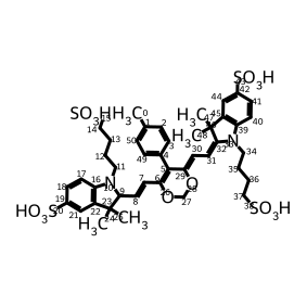 Cc1ccc(C2=C(/C=C/C3N(CCCCS(=O)(=O)O)c4ccc(S(=O)(=O)O)cc4C3(C)C)OCO/C2=C\C=C2\N(CCCCS(=O)(=O)O)c3ccc(S(=O)(=O)O)cc3C2(C)C)cc1